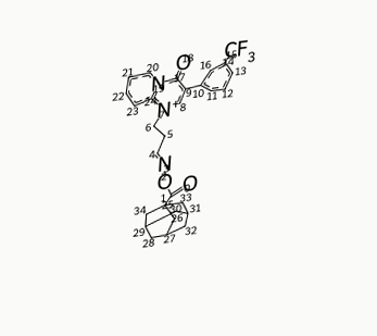 O=C(ON=CCC[n+]1cc(-c2cccc(C(F)(F)F)c2)c(=O)n2ccccc21)C12CC3CC(CC(C3)C1)C2